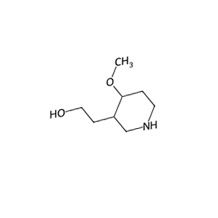 COC1CCNCC1CCO